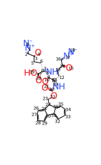 [N-]=[N+]=CC(=O)CC[C@H](NC(=O)[C@H](CCC(=O)C=[N+]=[N-])NC(=O)OCC1c2ccccc2-c2ccccc21)C(=O)O